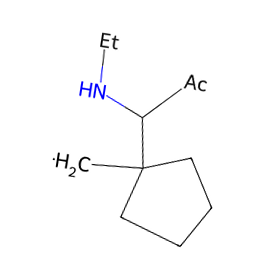 [CH2]C1(C(NCC)C(C)=O)CCCC1